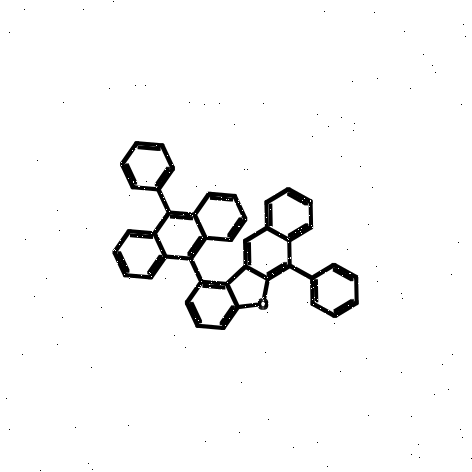 c1ccc(-c2c3ccccc3c(-c3cccc4oc5c(-c6ccccc6)c6ccccc6cc5c34)c3ccccc23)cc1